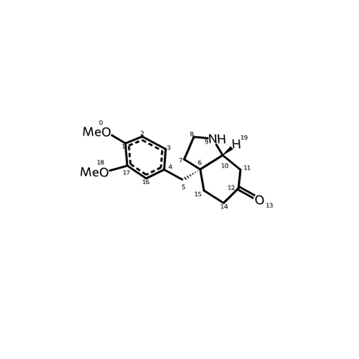 COc1ccc(C[C@]23CCN[C@@H]2CC(=O)CC3)cc1OC